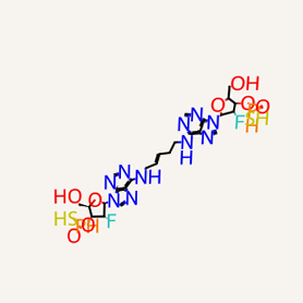 O=[PH](S)O[C@H]1[C@@H](F)[C@H](n2cnc3c(NC/C=C/CCNc4ncnc5c4ncn5[C@@H]4OC(CO)[C@@H](O[PH](=O)S)[C@H]4F)ncnc32)O[C@@H]1CO